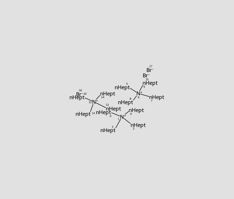 CCCCCCC[N+](CCCCCCC)(CCCCCCC)CCCCCCC.CCCCCCC[N+](CCCCCCC)(CCCCCCC)CCCCCCC.CCCCCCC[N+](CCCCCCC)(CCCCCCC)CCCCCCC.[Br-].[Br-].[Br-]